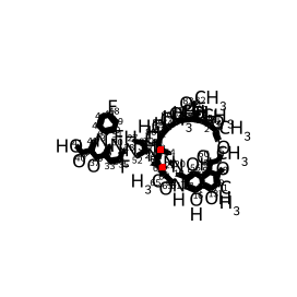 CO[C@H]1/C=C/O[C@@]2(C)Oc3c(C)c(O)c4c(O)c(c(/C=N/N5CCN(C6CCN(c7nc8c(cc7F)c(=O)c(C(=O)O)cn8-c7ccc(F)cc7F)C6)CC5)c(O)c4c3C2=O)NC(=O)/C(C)=C\C=C\[C@H](C)[C@H](O)[C@@H](C)[C@@H](O)[C@@H](C)[C@H](OC(C)=O)[C@@H]1C